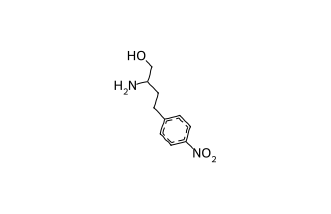 NC(CO)CCc1ccc([N+](=O)[O-])cc1